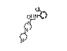 CN1CCC(N2CCN(C(=O)CNc3ccccc3Cl)CC2)CC1